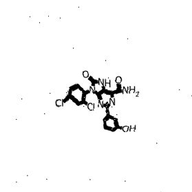 NC(=O)c1nc(-c2cccc(O)c2)nc2c1[nH]c(=O)n2-c1ccc(Cl)cc1Cl